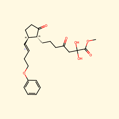 COC(=O)C(O)(O)CC(=O)CCC[C@H]1C(=O)CC[C@@H]1/C=C/CCOc1ccccc1